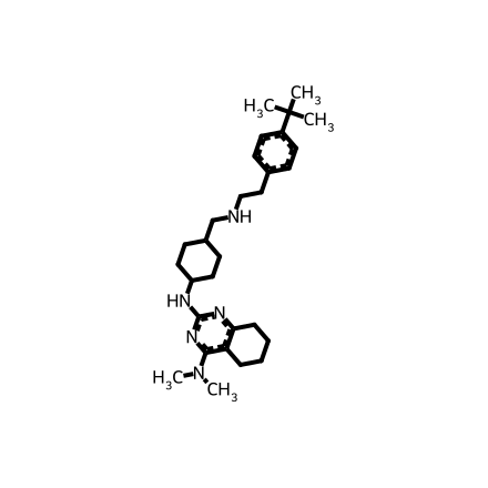 CN(C)c1nc(NC2CCC(CNCCc3ccc(C(C)(C)C)cc3)CC2)nc2c1CCCC2